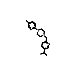 Cc1ccc(N2CCN(Cc3ccc(C(C)C)cn3)CC2)nc1